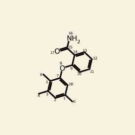 Cc1cc(C)c(C)c(Oc2ccccc2C(N)=O)c1